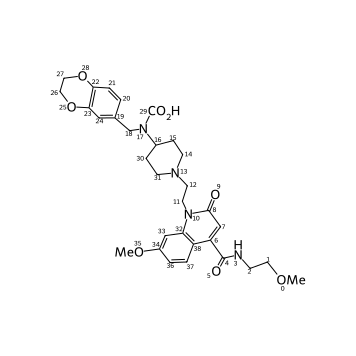 COCCNC(=O)c1cc(=O)n(CCN2CCC(N(Cc3ccc4c(c3)OCCO4)C(=O)O)CC2)c2cc(OC)ccc12